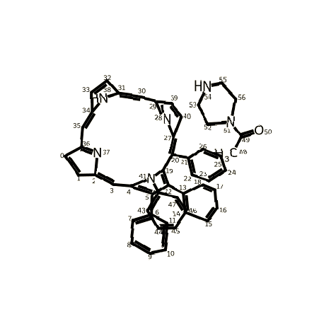 C1=Cc2cc3c(-c4ccccc4)c(-c4ccccc4)c(c(-c4ccccc4)c4nc(cc5ccc(cc1n2)[nH]5)C=C4)n3-c1ccccc1.CC(=O)N1CCNCC1